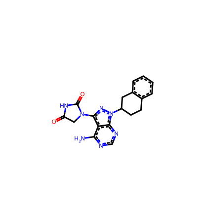 Nc1ncnc2c1c(N1CC(=O)NC1=O)nn2C1CCc2ccccc2C1